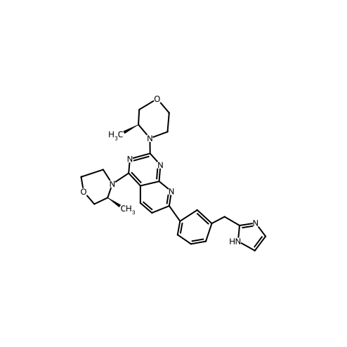 C[C@H]1COCCN1c1nc(N2CCOC[C@@H]2C)c2ccc(-c3cccc(Cc4ncc[nH]4)c3)nc2n1